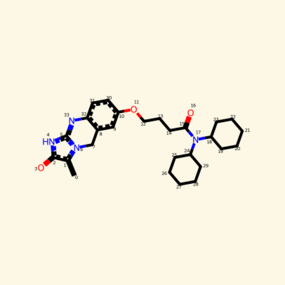 C=c1c(=O)[nH]c2n1Cc1cc(OCCCC(=O)N(C3CCCCC3)C3CCCCC3)ccc1N=2